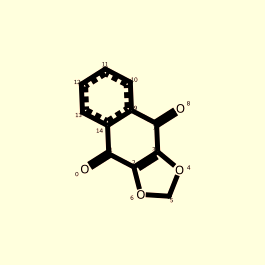 O=C1C2=C(OCO2)C(=O)c2ccccc21